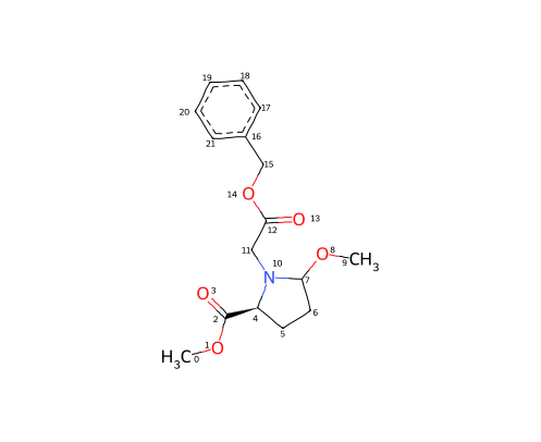 COC(=O)[C@@H]1CCC(OC)N1CC(=O)OCc1ccccc1